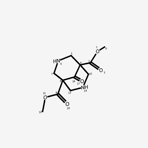 COC(=O)C12CNCC(C(=O)OC)(CNC1)C2=O